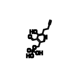 C#CCCc1ncc(COP(=O)(O)O)c(C=O)c1O